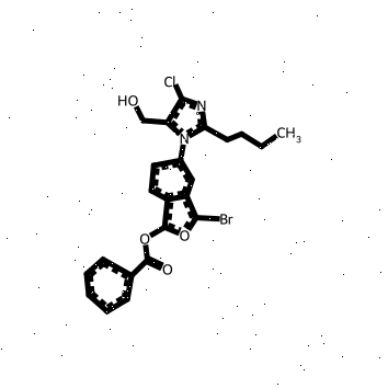 CCCCc1nc(Cl)c(CO)n1-c1ccc2c(OC(=O)c3ccccc3)oc(Br)c2c1